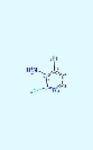 CCc1ccnc(F)c1N